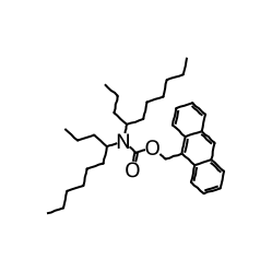 CCCCCCC(CCC)N(C(=O)OCc1c2ccccc2cc2ccccc12)C(CCC)CCCCCC